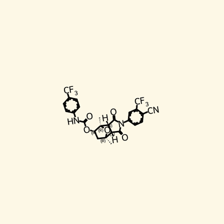 C[C@]12O[C@](C)(C[C@H]1OC(=O)Nc1ccc(C(F)(F)F)cc1)[C@H]1C(=O)N(c3ccc(C#N)c(C(F)(F)F)c3)C(=O)[C@H]12